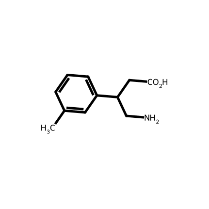 Cc1cccc(C(CN)CC(=O)O)c1